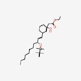 CCCCCCCCC(C=CC1CCCC(O)(CC(=O)OCC)C1)O[Si](C)(C)C(C)(C)C